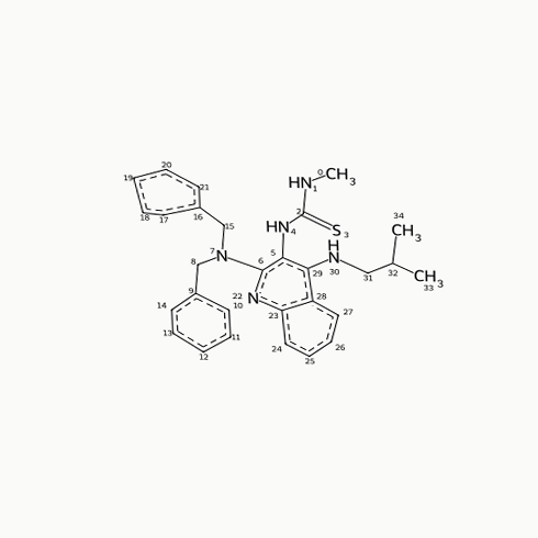 CNC(=S)Nc1c(N(Cc2ccccc2)Cc2ccccc2)nc2ccccc2c1NCC(C)C